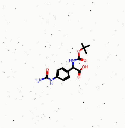 CC(C)(C)OC(=O)NC(C(=O)O)c1ccc(NC(N)=O)cc1